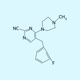 CN1CCN(c2nc(C#N)ncc2Cc2cccc(F)c2)CC1